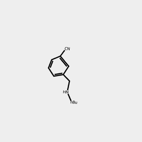 CCCCNCc1cccc(C#N)c1